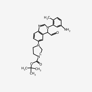 Cc1ccc(N)cc1N1C=Nc2ccc(N3CCN(C(=O)OC(C)(C)C)CC3)cc2C1C=O